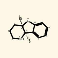 CC[C@@]12CCCN[C@@H]1c1ccccc1O2